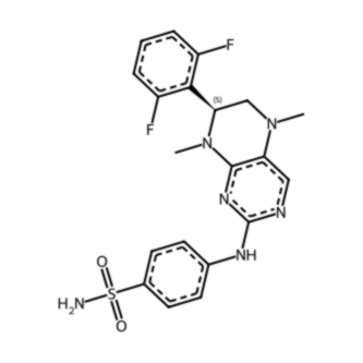 CN1C[C@H](c2c(F)cccc2F)N(C)c2nc(Nc3ccc(S(N)(=O)=O)cc3)ncc21